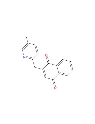 Cc1ccc(CC2=CC(=O)c3ccccc3C2=O)nc1